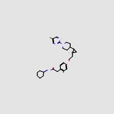 C[C@]1(C2CCN(c3ncc(Cl)cn3)CC2)C[C@@]1(I)CCOc1ccc(CC(=O)NCC2CCCCC2)c(F)c1